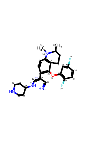 CC1CCc2c(ccc(/C(C=N)=C/NC3CCNCC3)c2Oc2cc(F)ccc2F)N1C